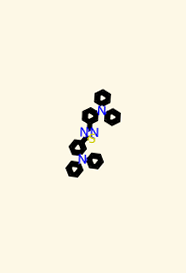 c1ccc(N(c2ccccc2)c2cccc(-c3nsc(-c4cccc(N(c5ccccc5)c5ccccc5)c4)n3)c2)cc1